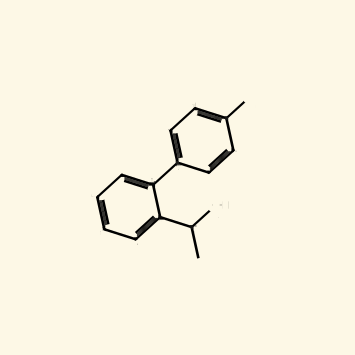 CC(O)c1ccccc1-c1ccc(O)cc1